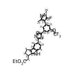 CCOC(=O)CC1CCc2c1[nH]c1ccc(-c3noc(-c4cc(OC(F)(F)F)cc(-c5c(C)nn(C)c5C)c4)n3)cc21